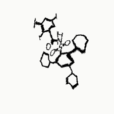 O=C(NS(=O)(=O)c1c(C2CCCCC2)cc(C2CCCCC2)cc1C1CCCCC1)c1cc(I)cc(I)c1I